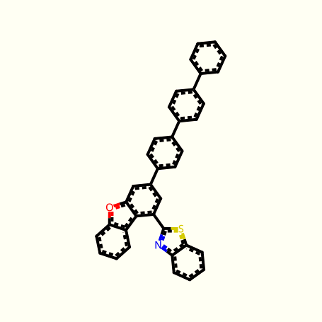 c1ccc(-c2ccc(-c3ccc(-c4cc(-c5nc6ccccc6s5)c5c(c4)oc4ccccc45)cc3)cc2)cc1